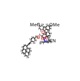 COc1ccc(C(OCC(COCc2ccc(C#Cc3ccc4ccc5cccc6ccc3c4c56)cc2)O[P@@](OCCC#N)N(C(C)C)C(C)C)(c2ccccc2)c2ccc(OC)cc2)cc1